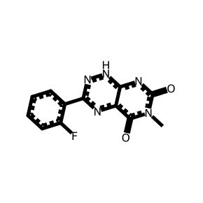 Cn1c(=O)nc2[nH]nc(-c3ccccc3F)nc-2c1=O